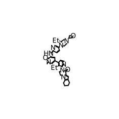 CCc1c(-c2cc(Nc3ccc(N4CCN(C5COC5)C[C@@H]4CC)cn3)c(=O)n(C)c2)ccnc1N1CCn2c(cc3c2CCCC3)C1=O